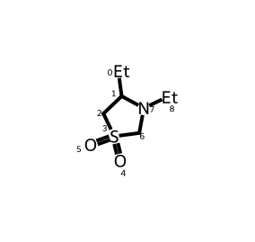 CCC1CS(=O)(=O)CN1CC